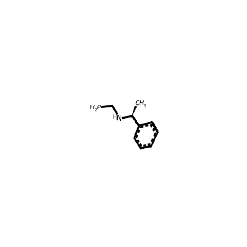 C[C@H](NCP)c1ccccc1